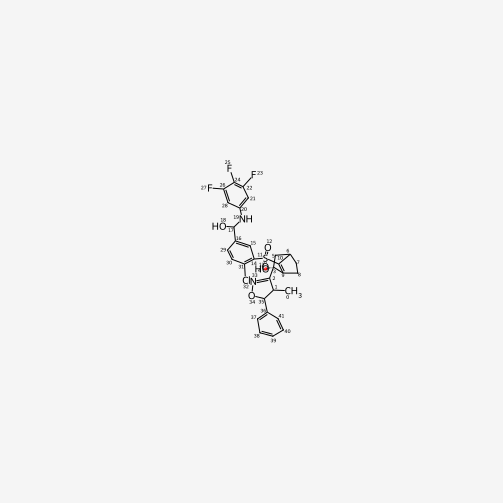 CC1C([C@@]2(O)CC3CCC2=C3S(=O)(=O)c2cc(C(O)Nc3cc(F)c(F)c(F)c3)ccc2Cl)=NOC1c1ccccc1